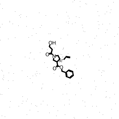 C=CC[C@H]1CN(C(=O)CCO)CC1C(=O)OCc1ccccc1